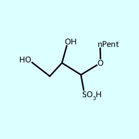 CCCCCOC(C(O)CO)S(=O)(=O)O